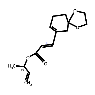 C=C[C@@H](C)OC(=O)/C=C/C1=CCCC2(C1)OCCO2